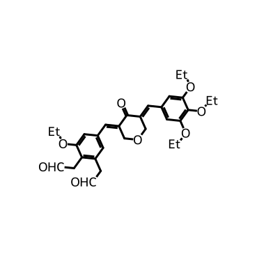 CCOc1cc(/C=C2\COC/C(=C\c3cc(OCC)c(OCC)c(OCC)c3)C2=O)cc(CC=O)c1CC=O